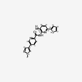 Cn1cc(-c2ccc(C(=O)Nc3nc(-c4cccs4)ccc3N)nc2)cn1